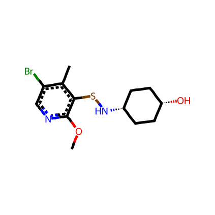 COc1ncc(Br)c(C)c1SN[C@H]1CC[C@@H](O)CC1